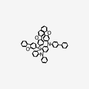 c1ccc(-c2ccc(N(c3ccc4c(c3)[Si](c3ccc5c(c3)oc3ccccc35)(c3ccc5c(c3)oc3ccccc35)c3ccccc3N4c3ccccc3)c3ccc4c(c3)oc3ccccc34)cc2)cc1